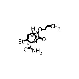 C=CCON1C(=O)N2C[C@H]1C=C(CC)[C@H]2C(N)=O